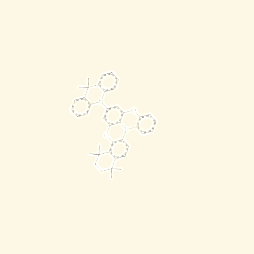 CC1(C)CCC(C)(C)c2c1ccc1c2Oc2cc(N3c4ccccc4C(C)(C)c4ccccc43)cc3c2B1c1ccccc1O3